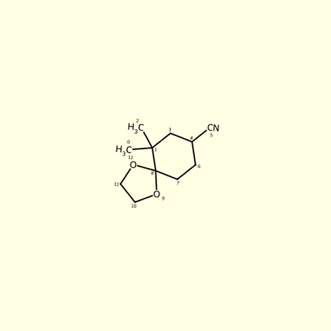 CC1(C)CC(C#N)CCC12OCCO2